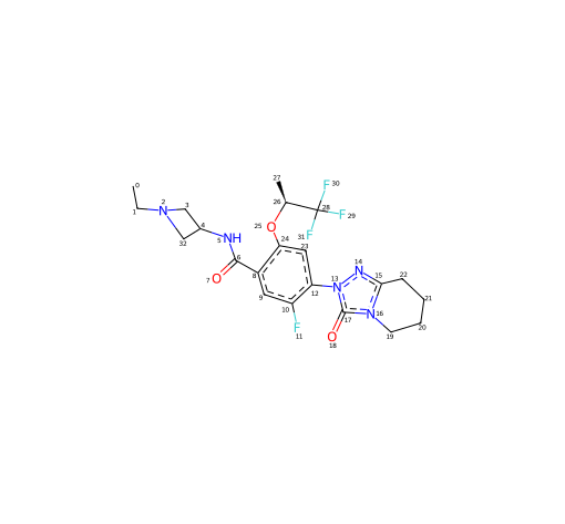 CCN1CC(NC(=O)c2cc(F)c(-n3nc4n(c3=O)CCCC4)cc2O[C@@H](C)C(F)(F)F)C1